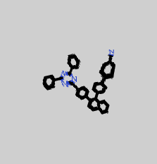 N#Cc1ccc(-c2ccc(-c3c(-c4ccc(-c5nc(-c6ccccc6)nc(-c6ccccc6)n5)cc4)ccc4ccccc34)cc2)cc1